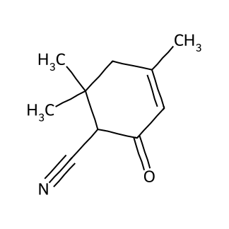 CC1=CC(=O)C(C#N)C(C)(C)C1